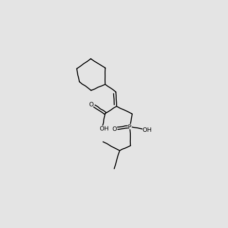 CC(C)CP(=O)(O)C/C(=C/C1CCCCC1)C(=O)O